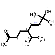 CC(=O)CCC(/C=C/C(C)(C)O)C(C)C